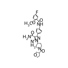 COc1ccc(F)cc1C(=O)NCc1ccc(-c2nn(C3CCN(C(=O)C4CCOC4)CC3)c(N)c2C(N)=O)cc1